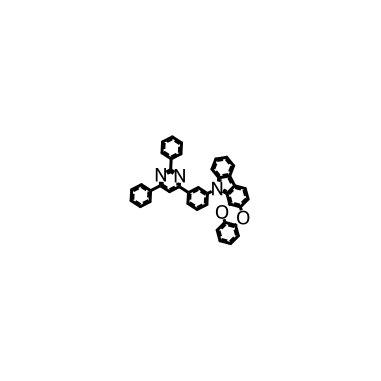 c1ccc(-c2cc(-c3cccc(-n4c5ccccc5c5ccc6c(c54)Oc4ccccc4O6)c3)nc(-c3ccccc3)n2)cc1